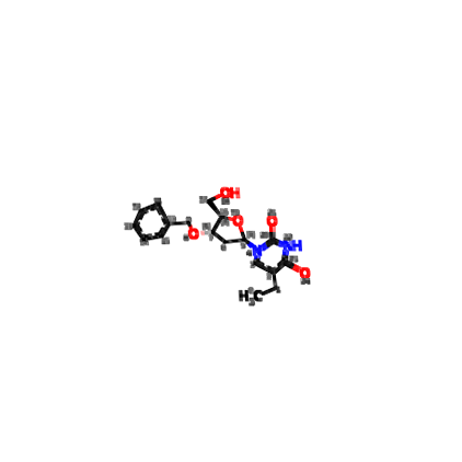 CCc1cn([C@H]2C[C@H](OCc3ccccc3)[C@@H](CO)O2)c(=O)[nH]c1=O